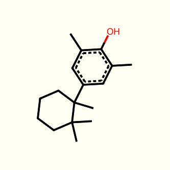 Cc1cc(C2(C)CCCCC2(C)C)cc(C)c1O